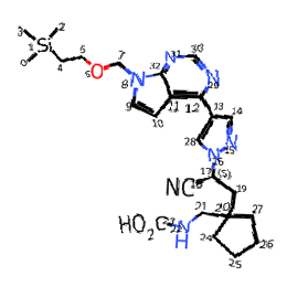 C[Si](C)(C)CCOCn1ccc2c(-c3cnn([C@H](C#N)CC4(CNC(=O)O)CCCC4)c3)ncnc21